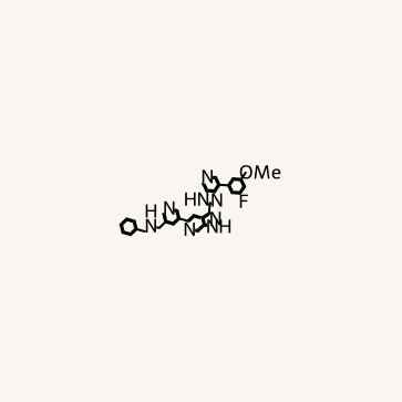 COc1cc(F)cc(-c2cncc3[nH]c(-c4n[nH]c5cnc(-c6cncc(CNCc7ccccc7)c6)cc45)nc23)c1